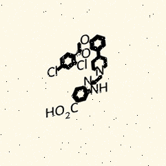 O=C(O)c1ccc2nc(CN3CCC(c4cccc5c4O[C@@H](c4ccc(Cl)cc4Cl)CO5)CC3)[nH]c2c1